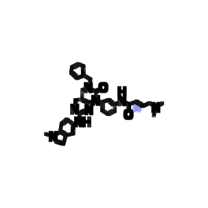 CN(C)C/C=C/C(=O)Nc1cccc(N2C(=O)N(Cc3ccccc3)Cc3cnc(Nc4ccc5c(ccn5C)c4)nc32)c1